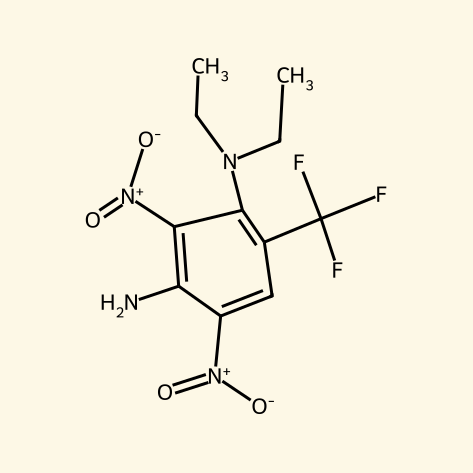 CCN(CC)c1c(C(F)(F)F)cc([N+](=O)[O-])c(N)c1[N+](=O)[O-]